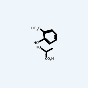 CC(O)C(=O)O.O=C(O)c1ccccc1O